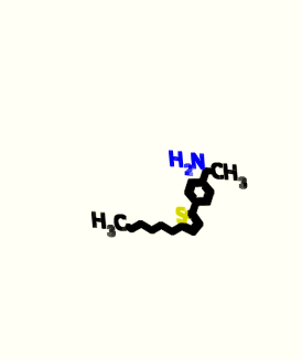 CCCCCCc1ccc(-c2ccc(C(C)N)cc2)s1